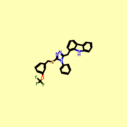 FC(F)(F)Oc1cccc(CSc2nnc(Cc3cccc4c3[nH]c3ccccc34)n2-c2ccccc2)c1